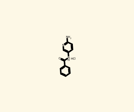 Cl.Nc1ccc(NC(=O)c2ccccc2)cn1